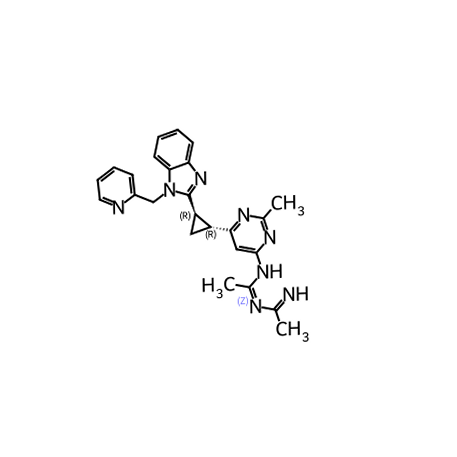 CC(=N)/N=C(/C)Nc1cc([C@@H]2C[C@H]2c2nc3ccccc3n2Cc2ccccn2)nc(C)n1